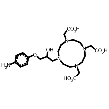 Nc1ccc(OCC(O)CN2CCN(CC(=O)O)CCN(CC(=O)O)CCN(CC(=O)O)CC2)cc1